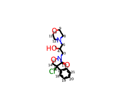 O=C1N(CC(O)CN2CCOCC2)OCC1(Cl)c1ccccc1